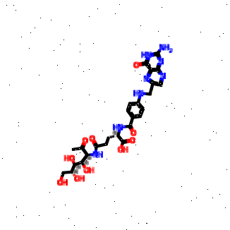 CC(=O)[C@@H](NC(=O)CC[C@H](NC(=O)c1ccc(NCc2cnc3nc(N)[nH]c(=O)c3n2)cc1)C(=O)O)[C@@H](O)[C@H](O)[C@H](O)CO